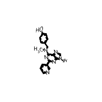 CC(C)n1cnc2c(N(C)Cc3ccc(O)cc3)nc(-c3cccnc3)nc21